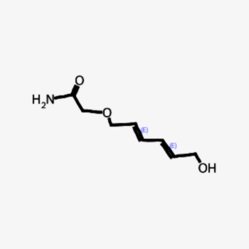 NC(=O)COC/C=C/C=C/CO